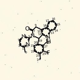 Cc1ccnc(N2C(=O)Cc3c([nH]c4ccccc34)C2c2ccc(C)c(F)c2F)n1